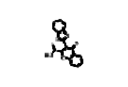 O=c1c(-c2nc3ccccc3s2)c(C(O)=S)oc2ccccc12